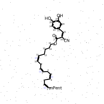 CCCCC/C=C\C/C=C\C/C=C\C/C=C\CCCCOC(=O)C(C#N)=Cc1ccc(O)c(O)c1